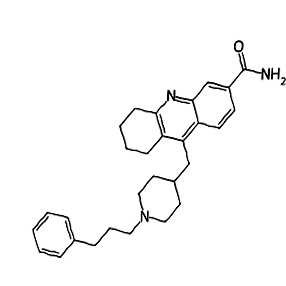 NC(=O)c1ccc2c(CC3CCN(CCCc4ccccc4)CC3)c3c(nc2c1)CCCC3